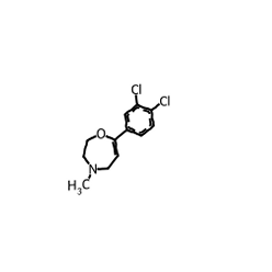 CN1CC=C(c2ccc(Cl)c(Cl)c2)OCC1